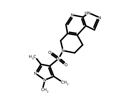 Cc1nn(C)c(C)c1S(=O)(=O)N1CCc2c(cnc3[nH]ncc23)C1